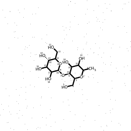 CC1OC(CO)[C@@H](O[C@@H]2OC(CO)[C@@H](O)C(O)C2O)C(O)C1O